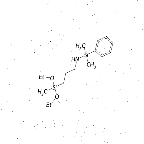 CCO[Si](C)(CCCN[Si](C)(C)c1ccccc1)OCC